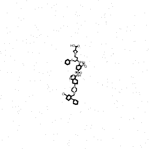 O=C(O)C1CN(CCC(CSc2ccccc2)Nc2ccc(S(=O)(=O)Nc3ncnc4cc(N5CCN(Cc6cc(Cl)ccc6-c6ccccc6)CC5)ccc34)cc2[N+](=O)[O-])C1